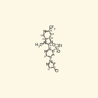 CCS(=O)(=O)c1cc(-n2cc(Cl)cn2)cnc1-c1nc2cc(C(F)(F)F)ncc2n1C